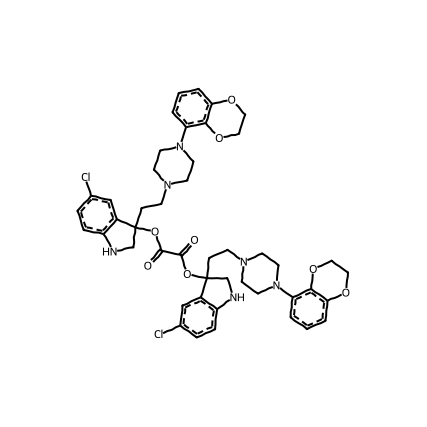 O=C(OC1(CCN2CCN(c3cccc4c3OCCO4)CC2)CNc2ccc(Cl)cc21)C(=O)OC1(CCN2CCN(c3cccc4c3OCCO4)CC2)CNc2ccc(Cl)cc21